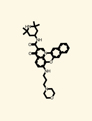 CC1(C)CC(NC(=O)c2cn3c4c(c(NCCCN5CCOCC5)ccc4c2=O)Oc2cc4ccccc4cc2-3)CC(C)(C)N1